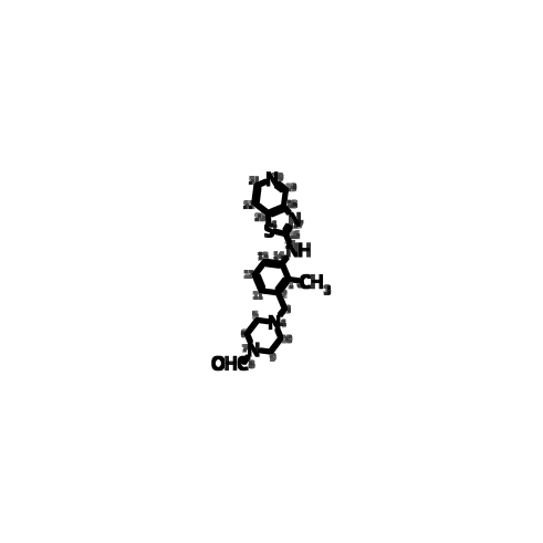 Cc1c(CN2CCN(C=O)CC2)cccc1Nc1nc2cnccc2s1